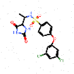 CC(NS(=O)(=O)c1ccc(Oc2cc(Cl)cc(Cl)c2)cc1)C1NC(=O)NC1=O